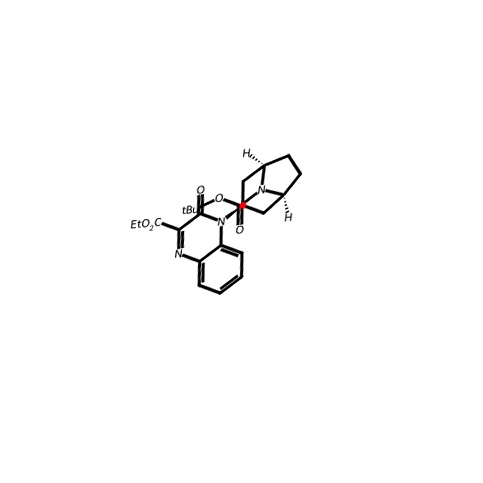 CCOC(=O)c1nc2ccccc2n([C@H]2C[C@H]3CC[C@@H](C2)N3C(=O)OC(C)(C)C)c1=O